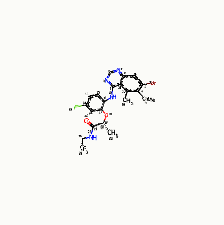 COc1c(Br)cc2ncnc(Nc3ccc(F)cc3O[C@H](C)C(=O)NCC(F)(F)F)c2c1C